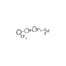 FC(F)(F)c1ccccc1C1CCN(C2=CCN(CCC3CC3(F)F)C=C2)CC1